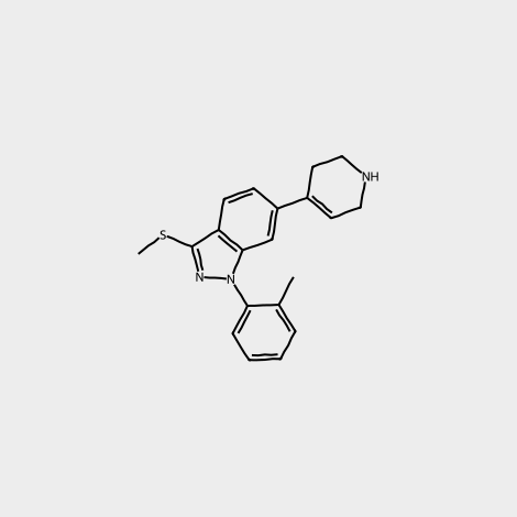 CSc1nn(-c2ccccc2C)c2cc(C3=CCNCC3)ccc12